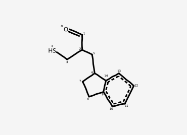 O=CC(CS)CC1CCc2ccccc21